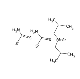 CC(C)[CH2][Mo+2][CH2]C(C)C.NC(=S)[S-].NC(=S)[S-]